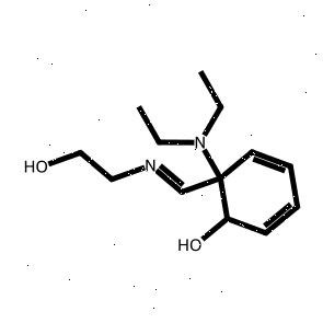 CCN(CC)C1(/C=N/CCO)C=CC=CC1O